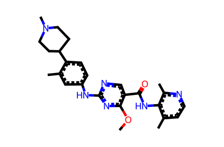 COc1nc(Nc2ccc(C3CCN(C)CC3)c(C)c2)ncc1C(=O)Nc1c(C)ccnc1C